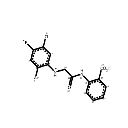 CC(=O)c1cc(F)c(Cl)cc1NCC(=O)Nc1ccccc1C(=O)O